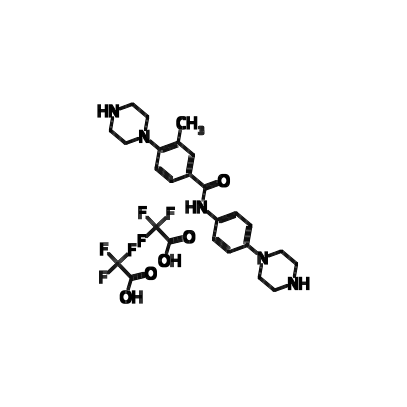 Cc1cc(C(=O)Nc2ccc(N3CCNCC3)cc2)ccc1N1CCNCC1.O=C(O)C(F)(F)F.O=C(O)C(F)(F)F